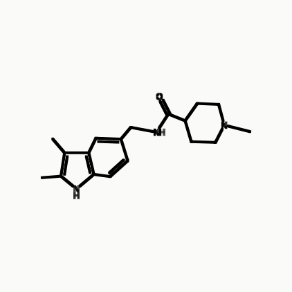 Cc1[nH]c2ccc(CNC(=O)C3CCN(C)CC3)cc2c1C